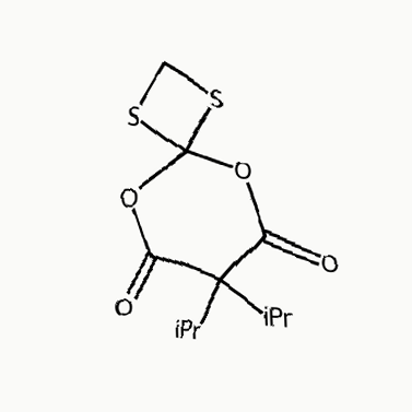 CC(C)C1(C(C)C)C(=O)OC2(OC1=O)SCS2